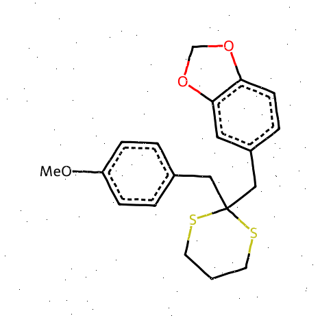 COc1ccc(CC2(Cc3ccc4c(c3)OCO4)SCCCS2)cc1